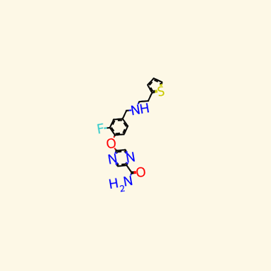 NC(=O)c1cnc(Oc2ccc(CNCCc3cccs3)cc2F)cn1